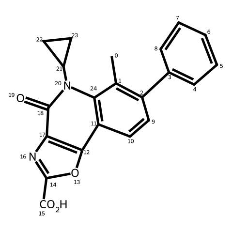 Cc1c(-c2ccccc2)ccc2c3oc(C(=O)O)nc3c(=O)n(C3CC3)c12